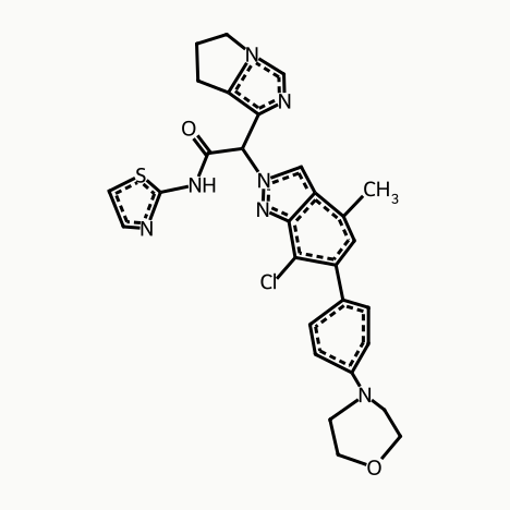 Cc1cc(-c2ccc(N3CCOCC3)cc2)c(Cl)c2nn(C(C(=O)Nc3nccs3)c3ncn4c3CCC4)cc12